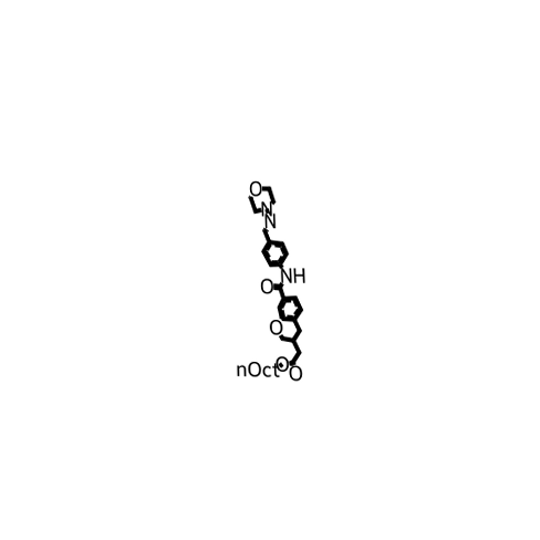 CCCCCCCCOC(=O)CC1COc2cc(C(=O)Nc3ccc(C=NN4CCOCC4)cc3)ccc2C1